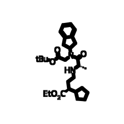 CCOC(=O)[C@@H](CCN[C@@H](C)C(=O)N(CC(=O)OC(C)(C)C)C1Cc2ccccc2C1)C1CCCC1